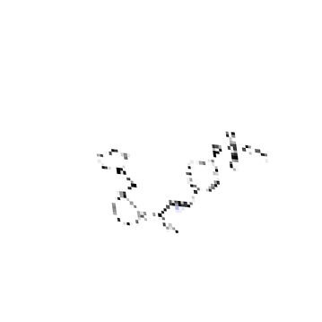 CS(=O)(=O)Oc1ccc(/C=C/C(=O)N2CCC[C@H]2CN2CCCC2)cc1